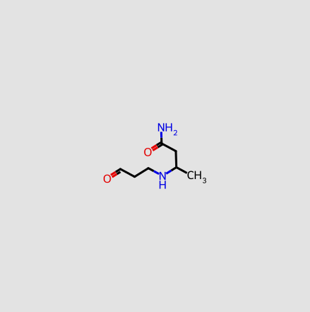 CC(CC(N)=O)NCCC=O